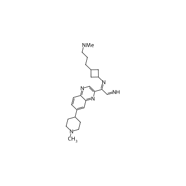 CNCCCC1CC(/N=C(/C=N)c2cnc3ccc(C4CCN(C)CC4)cc3n2)C1